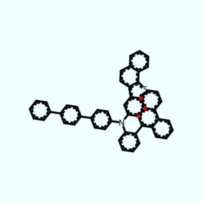 c1ccc(-c2ccc(-c3ccc(N(c4ccc5sc6c7ccccc7ccc6c5c4)c4ccccc4-c4cc5ccccc5c5ccccc45)cc3)cc2)cc1